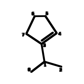 CC(C)C1=CCCC1